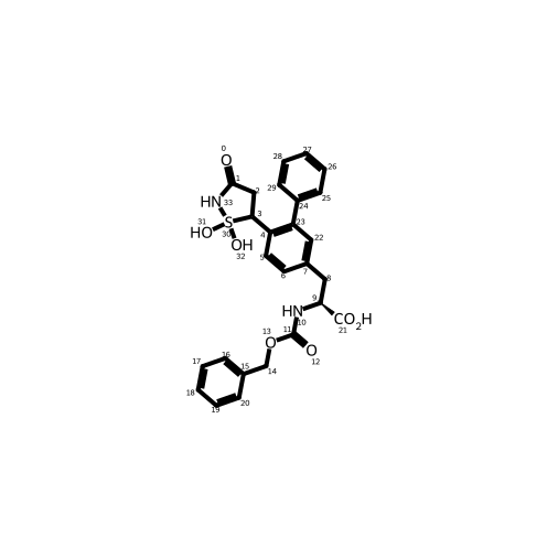 O=C1CC(c2ccc(C[C@H](NC(=O)OCc3ccccc3)C(=O)O)cc2-c2ccccc2)S(O)(O)N1